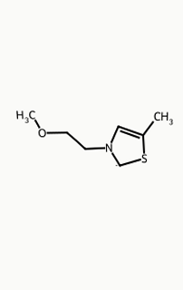 COCCN1[CH]SC(C)=C1